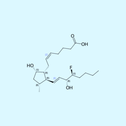 CCCC[C@H](F)[C@H](O)/C=C/[C@@H]1[C@@H](C/C=C\CCCC(=O)O)[C@@H](O)C[C@H]1C